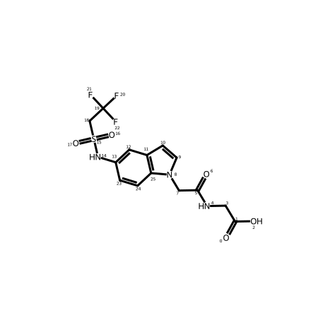 O=C(O)CNC(=O)Cn1ccc2cc(NS(=O)(=O)CC(F)(F)F)ccc21